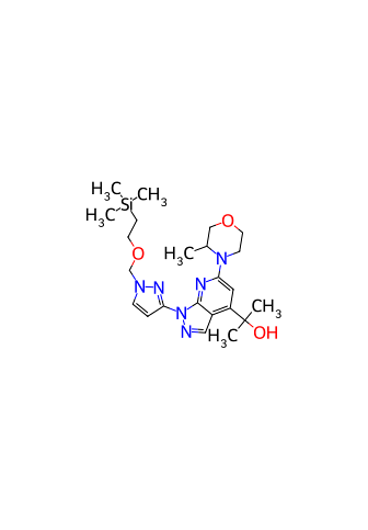 CC1COCCN1c1cc(C(C)(C)O)c2cnn(-c3ccn(COCC[Si](C)(C)C)n3)c2n1